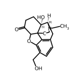 CN1CCC23c4c5ccc(CO)c4OC2C(=O)CC[C@@]3(O)[C@H]1C5